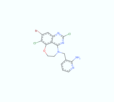 Nc1ncccc1CN1CCOc2c(Cl)c(Br)cc3nc(Cl)nc1c23